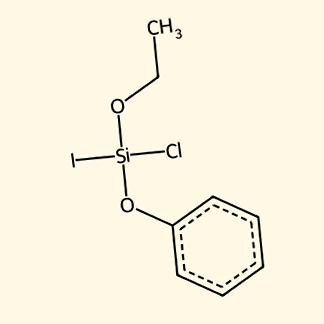 CCO[Si](Cl)(I)Oc1ccccc1